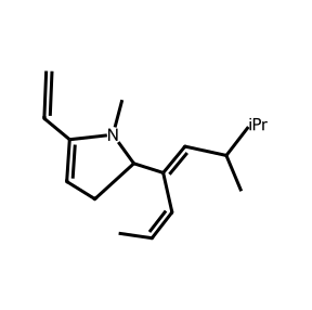 C=CC1=CCC(C(/C=C\C)=C/C(C)C(C)C)N1C